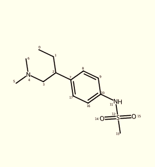 CCC(CN(C)C)c1ccc(NS(C)(=O)=O)cc1